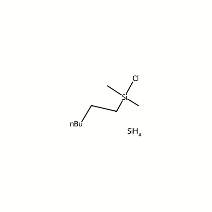 CCCCCC[Si](C)(C)Cl.[SiH4]